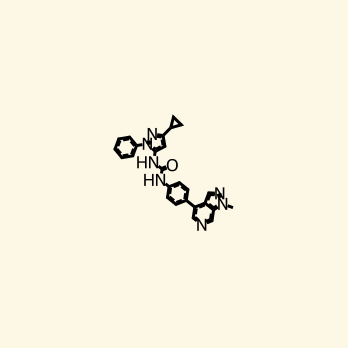 Cn1ncc2c(-c3ccc(NC(=O)Nc4cc(C5CC5)nn4-c4ccccc4)cc3)cncc21